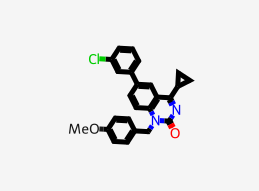 COc1ccc(Cn2c(=O)nc(C3CC3)c3cc(-c4cccc(Cl)c4)ccc32)cc1